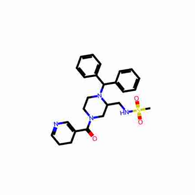 CS(=O)(=O)NCC1CN(C(=O)C2=CN=CCC2)CCN1C(c1ccccc1)c1ccccc1